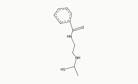 CC(S)NCCNC(=O)c1ccccc1